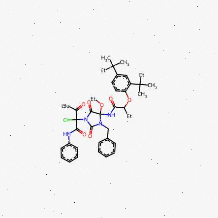 CCOC1(NC(=O)C(CC)Oc2ccc(C(C)(C)CC)cc2C(C)(C)CC)C(=O)N(C(Cl)(C(=O)Nc2ccccc2)C(=O)C(C)(C)C)C(=O)N1Cc1ccccc1